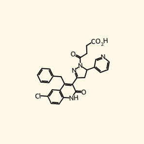 O=C(O)CCC(=O)N1N=C(c2c(Cc3ccccc3)c3cc(Cl)ccc3[nH]c2=O)CC1c1cccnc1